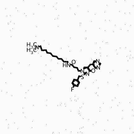 CN(C)CCCCCCCCCCCNC(=O)CCCn1cc(Cc2cncnc2)c(=O)nc1SCc1ccc(F)cc1